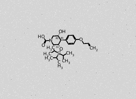 C=CCOc1ccc([C@@H]2[C@@H](O)CN(C(=O)O)C[C@H]2O[Si](C(C)C)(C(C)C)C(C)C)cc1